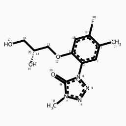 Cc1cc(-n2nnn(C)c2=O)c(OC[C@H](O)CO)cc1F